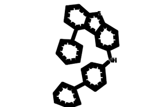 c1ccc(-c2ccc(Nc3ccc4sc5cccc(-c6ccccc6)c5c4c3)cc2)cc1